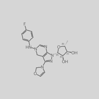 C[C@H]1O[C@@H](n2nc(N3C=COC3)c3c2N=CN(Nc2ccc(F)cc2)C3)[C@H](O)[C@@H]1O